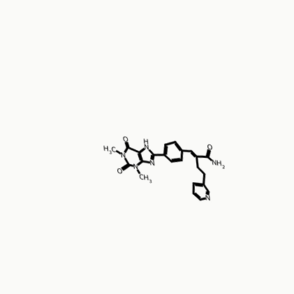 Cn1c(=O)c2[nH]c(-c3ccc(/C=C(\CCc4cccnc4)C(N)=O)cc3)nc2n(C)c1=O